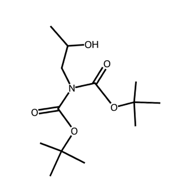 CC(O)CN(C(=O)OC(C)(C)C)C(=O)OC(C)(C)C